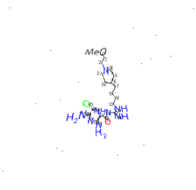 COCCN1CCC(CCCCNC(=N)NC(=O)c2nc(Cl)c(N)nc2N)CC1